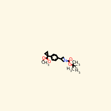 COC(=O)C1(c2ccc(C3CN(C(=O)OC(C)(C)C)C3)cc2)CC1